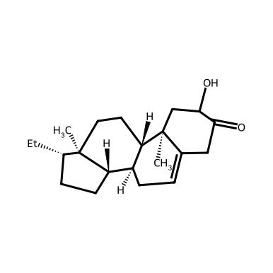 CC[C@H]1CC[C@H]2[C@@H]3CC=C4CC(=O)C(O)C[C@]4(C)[C@H]3CC[C@]12C